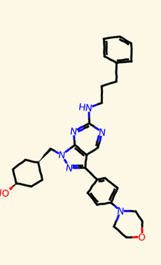 O[C@H]1CC[C@@H](Cn2nc(-c3ccc(N4CCOCC4)cc3)c3cnc(NCCCc4ccccc4)nc32)CC1